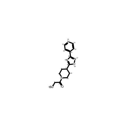 CC(C)(C)CC(=O)N1CCC(c2nc(-c3ccncc3)no2)CC1